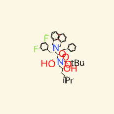 CC(C)CC[C@H](O)CN(C(=O)OC(C)(C)C)[C@H](CO)[C@@H](OCc1ccccc1)[C@H](Cc1cc(F)cc(F)c1)N(Cc1ccccc1)Cc1ccccc1